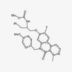 COc1ccc(Cn2c(=O)c3c(C)nccc3c3cc(F)c(OCC(CC(C)C)NC(=O)OC(C)(C)C)cc32)cc1